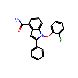 NC(=O)c1cccc2c1cc(-c1ccccc1)n2Oc1ccccc1F